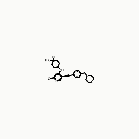 CC1(O)CCC(Nc2cc(Cl)ncc2C#Cc2ccc(CN3CCOCC3)cc2)CC1